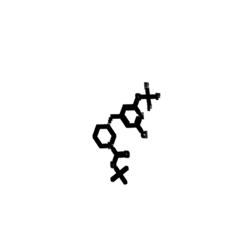 CC(C)(C)OC(=O)N1CCC[C@H](Cc2cc(Cl)nc(OC(F)(F)F)c2)C1